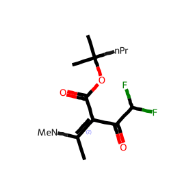 CCCC(C)(C)OC(=O)/C(C(=O)C(F)F)=C(/C)NC